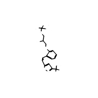 CC(C)(C)NCC(O)COc1ccccc1/C=C\c1cc(C(C)(C)C)no1